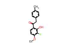 CCOc1ccc(C(=O)Cc2ccc(C)cc2)c(O)c1F